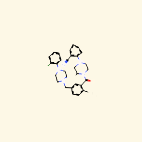 Cc1ccc(CN2CCN(c3ccccc3Cl)CC2)cc1C(=O)N1CCN(c2ccccc2C#N)CC1C